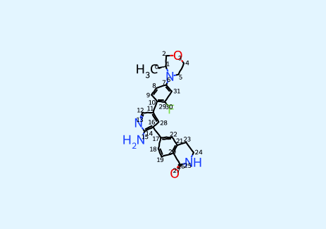 C[C@H]1COCCN1c1ccc(-c2cnc(N)c(-c3ccc4c(c3)CCNC4=O)c2)c(F)c1